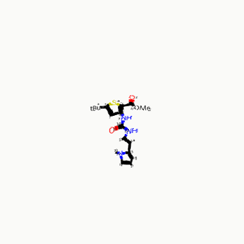 COC(=O)c1sc(C(C)(C)C)cc1NC(=O)NCCc1cccn1C